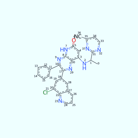 CC(Nc1cc(=O)[nH]c2nc(-c3ccccc3)c(-c3cc(Cl)c4ncccc4c3)nc12)c1nccc(C#N)n1